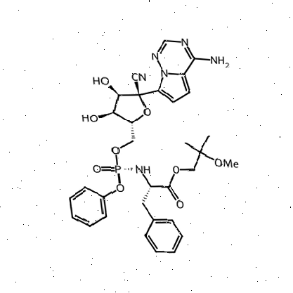 COC(C)(C)COC(=O)[C@H](Cc1ccccc1)N[P@](=O)(OC[C@H]1O[C@@](C#N)(c2ccc3c(N)ncnn23)[C@H](O)[C@@H]1O)Oc1ccccc1